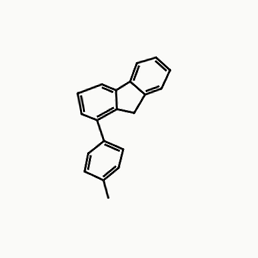 Cc1ccc(-c2cccc3c2Cc2ccccc2-3)cc1